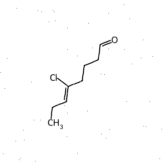 CCC=C(Cl)CCCC=O